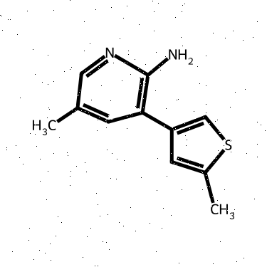 Cc1cnc(N)c(-c2csc(C)c2)c1